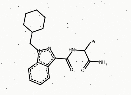 CC(C)C(NC(=O)c1nn(CC2CCCCC2)c2ccccc12)C(N)=O